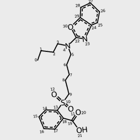 CCCCN(CCCCCS(=O)(=O)c1ccccc1C(=O)O)c1nc2ccccc2o1